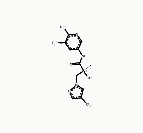 C[C@](O)(Cn1cc(C(F)(F)F)cn1)C(=O)Nc1cnc(C#N)c(C(F)(F)F)c1